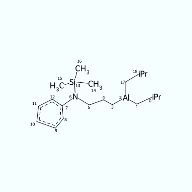 CC(C)[CH2][Al]([CH2]CCN(c1ccccc1)[Si](C)(C)C)[CH2]C(C)C